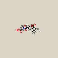 Cc1ccccc1-c1cc(=O)oc2cc([C@H](C=O)C(=O)N3CCC[C@H](C(=O)O)C3)ccc12